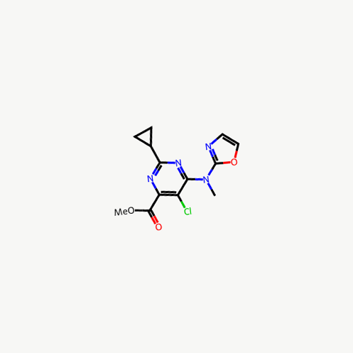 COC(=O)c1nc(C2CC2)nc(N(C)c2ncco2)c1Cl